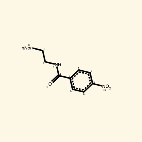 CCCCCCCCCCCNC(=O)c1ccc([N+](=O)[O-])cc1